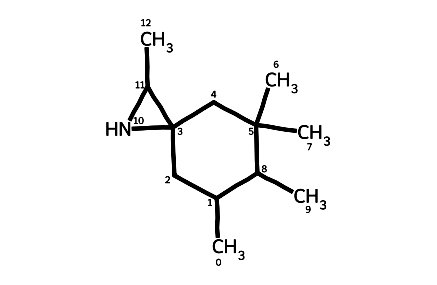 CC1CC2(CC(C)(C)C1C)NC2C